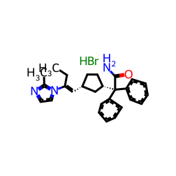 Br.CC/C(=C\[C@@H]1CC[C@H](C(C(N)=O)(c2ccccc2)c2ccccc2)C1)n1ccnc1C